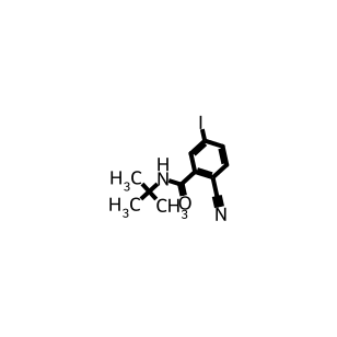 CC(C)(C)NC(=O)c1cc(I)ccc1C#N